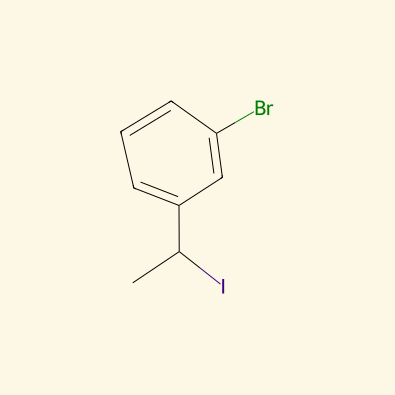 CC(I)c1cccc(Br)c1